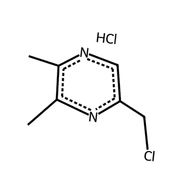 Cc1ncc(CCl)nc1C.Cl